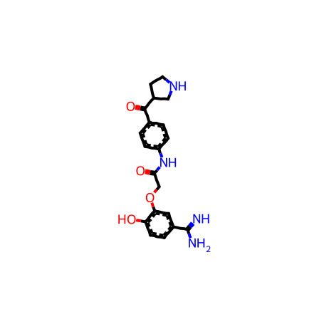 N=C(N)c1ccc(O)c(OCC(=O)Nc2ccc(C(=O)C3CCNC3)cc2)c1